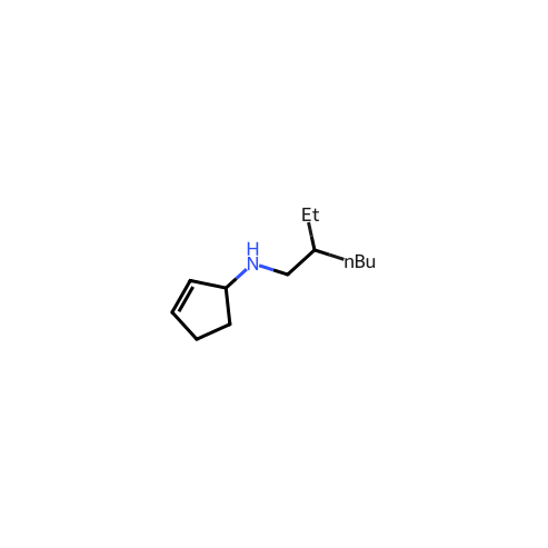 CCCCC(CC)CNC1C=CCC1